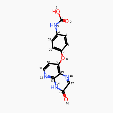 O=C(O)Nc1ccc(Oc2ccnc3[nH]c(=O)cnc23)cc1